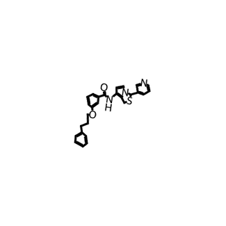 O=C(Nc1ccn2c1CSC2c1cccnc1)c1cccc(OCCCc2ccccc2)c1